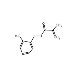 C=C(C)C(=O)OSc1ccccc1C